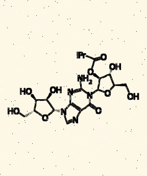 CC(C)C(=O)O[C@@H]1C(n2c(N)nc3c(ncn3[C@@H]3O[C@H](CO)[C@@H](O)[C@H]3O)c2=O)O[C@H](CO)[C@H]1O